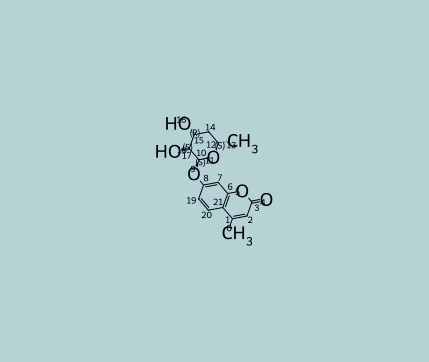 Cc1cc(=O)oc2cc(O[C@@H]3O[C@@H](C)C[C@@H](O)[C@@H]3O)ccc12